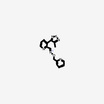 Cc1nsnc1-c1cccnc1/C=N/OCc1ccccn1